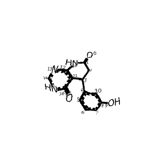 O=C1CC(c2cccc(O)c2)c2c(nc[nH]c2=O)N1